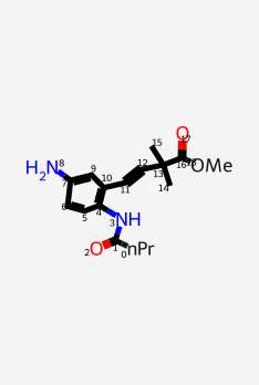 CCCC(=O)Nc1ccc(N)cc1C#CC(C)(C)C(=O)OC